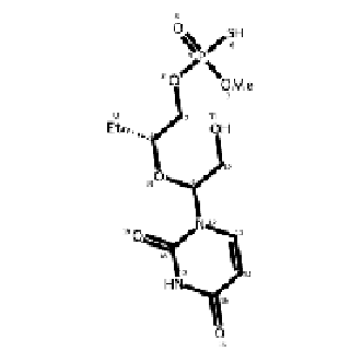 CC[C@H](COP(=O)(S)OC)OC(CO)n1ccc(=O)[nH]c1=O